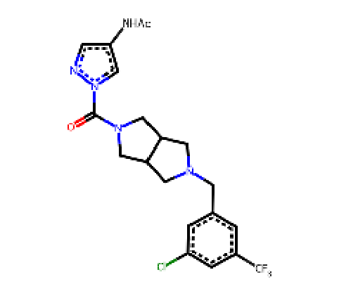 CC(=O)Nc1cnn(C(=O)N2CC3CN(Cc4cc(Cl)cc(C(F)(F)F)c4)CC3C2)c1